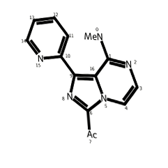 CNc1nccn2c(C(C)=O)nc(-c3ccccn3)c12